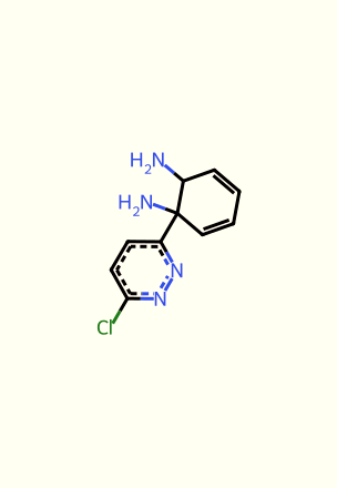 NC1C=CC=CC1(N)c1ccc(Cl)nn1